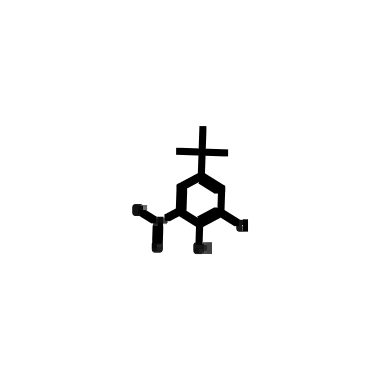 CC(C)(C)c1cc(Cl)c(O)c([N+](=O)[O-])c1